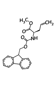 C=CC[C@@H](NC(=O)OCC1c2ccccc2-c2ccccc21)C(=O)OC